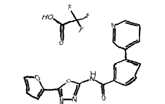 O=C(Nc1nnc(-c2ccco2)o1)c1cccc(-c2cccnc2)c1.O=C(O)C(F)(F)F